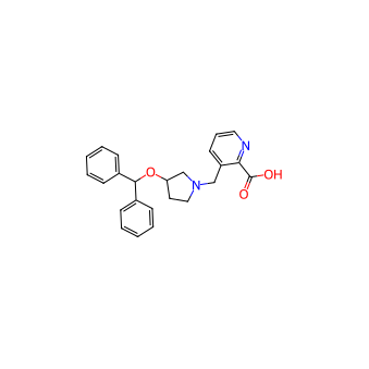 O=C(O)c1ncccc1CN1CCC(OC(c2ccccc2)c2ccccc2)C1